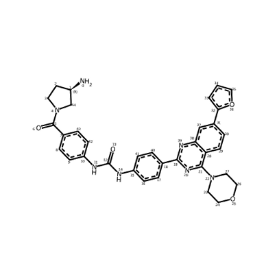 N[C@@H]1CCN(C(=O)c2ccc(NC(=O)Nc3ccc(-c4nc(N5CCOCC5)c5ccc(-c6ccco6)cc5n4)cc3)cc2)C1